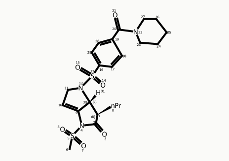 CCC[C@H]1C(=O)N(S(C)(=O)=O)C2=CCN(S(=O)(=O)c3ccc(C(=O)N4CCCCC4)cc3)[C@@H]21